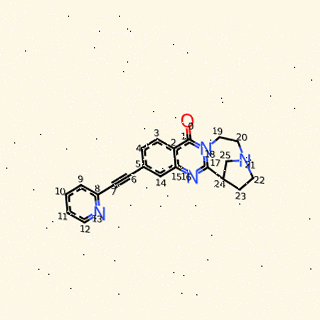 O=c1c2ccc(C#Cc3ccccn3)cc2nc2n1CCN1CCC2C1